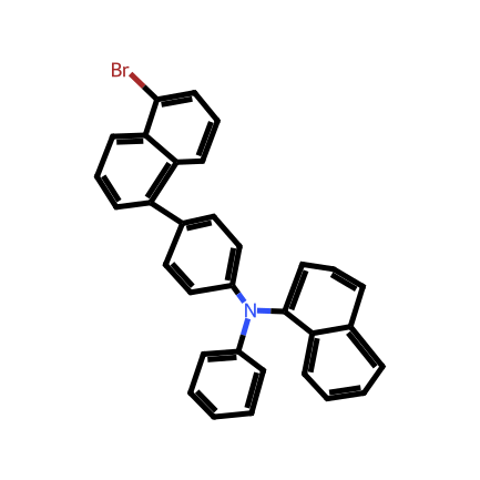 Brc1cccc2c(-c3ccc(N(c4ccccc4)c4cccc5ccccc45)cc3)cccc12